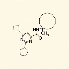 CC1(NC(=O)c2cc(C3CCC3)nc(C3CCCC3)n2)CCCCCCCCC1